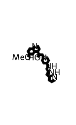 COc1ccc2nccc(C(O)CN3CCC(NCc4cc5cccnc5[nH]4)CC3)c2c1